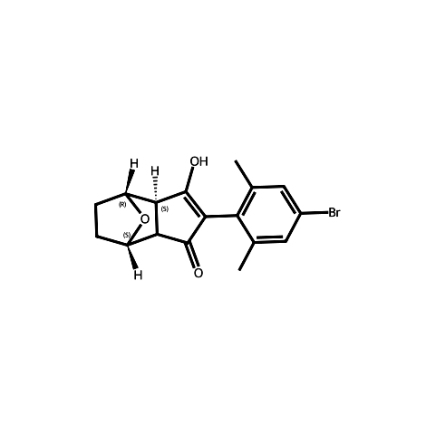 Cc1cc(Br)cc(C)c1C1=C(O)[C@H]2C(C1=O)[C@@H]1CC[C@H]2O1